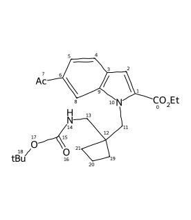 CCOC(=O)c1cc2ccc(C(C)=O)cc2n1CC1(CNC(=O)OC(C)(C)C)CCC1